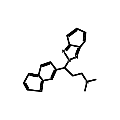 CN(C)CCC(c1ccc2ccccc2c1)n1nc2ccccc2n1